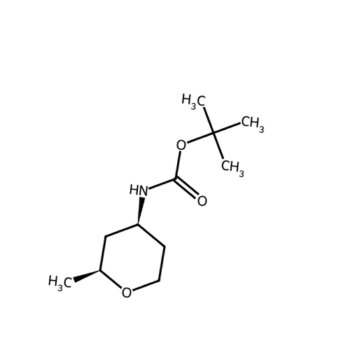 C[C@H]1C[C@@H](NC(=O)OC(C)(C)C)CCO1